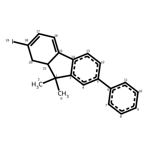 CC1(C)c2cc(-c3ccccc3)ccc2C2=CC=C(I)CC21